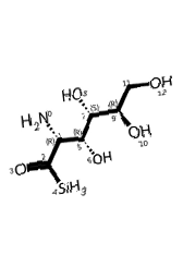 N[C@@H](C(=O)[SiH3])[C@@H](O)[C@H](O)[C@H](O)CO